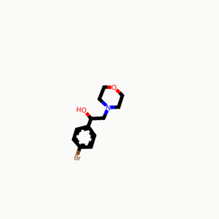 OC(CN1CCOCC1)c1ccc(Br)cc1